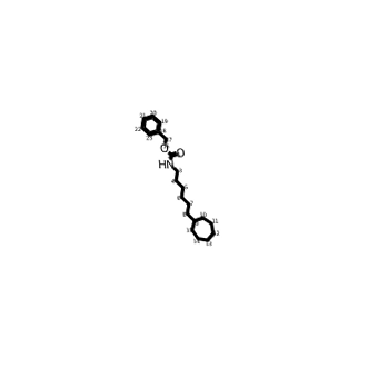 O=C(NCCCCCCC1CC[CH]CCC1)OCc1ccccc1